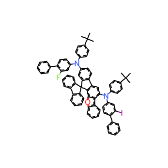 CC(C)(C)c1ccc(N(c2ccc(-c3ccccc3)c(F)c2)c2ccc3c(c2)C2(c4ccccc4-c4ccccc42)c2c-3cc(N(c3ccc(C(C)(C)C)cc3)c3ccc(-c4ccccc4)c(I)c3)c3c2oc2ccccc23)cc1